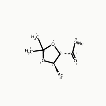 COC(=O)[C@H]1OC(C)(C)O[C@@H]1C(C)=O